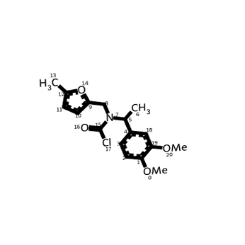 COc1ccc(C(C)N(Cc2ccc(C)o2)C(=O)Cl)cc1OC